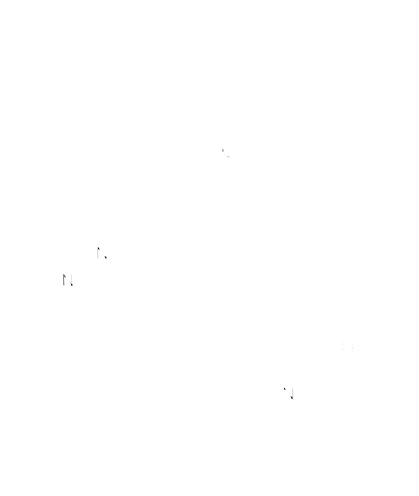 COc1ncc(Cc2cnn(C)c2)cc1-c1cccc(Cl)c1